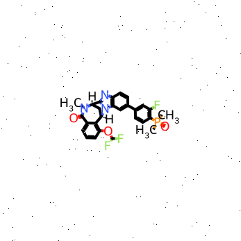 CN1C(=O)c2cccc(OC(F)F)c2[C@H]2C[C@@H]1c1nc3ccc(-c4ccc(P(C)(C)=O)c(F)c4)cc3n12